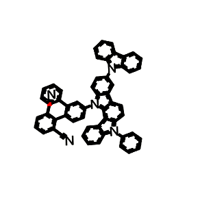 N#Cc1cccc(C#N)c1-c1ccc(-n2c3ccc(-n4c5ccccc5c5ccccc54)cc3c3ccc4c(c5ccccc5n4-c4ccccc4)c32)cc1-c1ccccc1